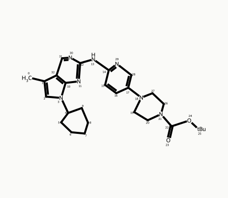 Cc1cn(C2CCCCC2)c2nc(Nc3ccc(N4CCN(C(=O)OC(C)(C)C)CC4)cn3)ncc12